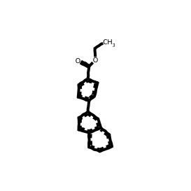 CCOC(=O)c1ccc(-c2ccc3ccccc3c2)cc1